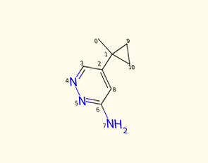 CC1(c2cnnc(N)c2)CC1